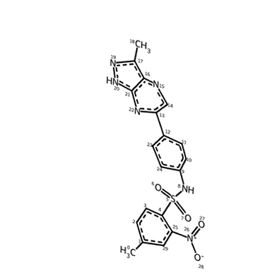 Cc1ccc(S(=O)(=O)Nc2ccc(-c3cnc4c(C)n[nH]c4n3)cc2)c([N+](=O)[O-])c1